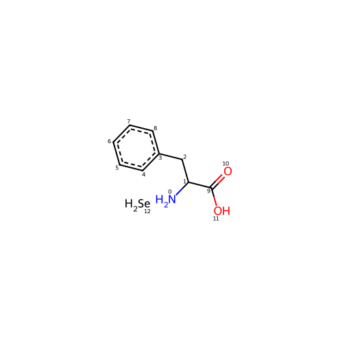 NC(Cc1ccccc1)C(=O)O.[SeH2]